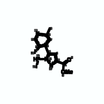 COC(=O)c1cc(-c2cc(C)ncc2F)n(PI)n1